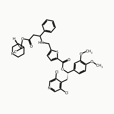 COc1ccc([C@H](Cc2c(Cl)cncc2Cl)OC(=O)c2ccc(CNC(CC(=O)O[C@H]3CN4CCC3CC4)c3ccccc3)s2)cc1OC